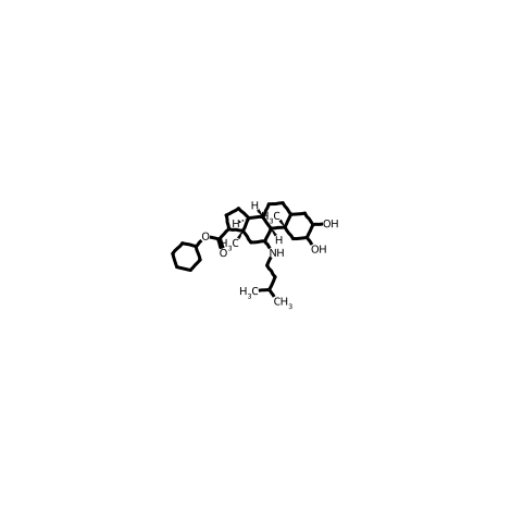 CC(C)CCNC1C[C@]2(C)C(C(=O)OC3CCCCC3)CC[C@H]2[C@@H]2CCC3CC(O)C(O)C[C@]3(C)[C@H]12